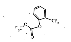 O=C(Oc1ccccc1C(F)(F)F)OC(F)(F)F